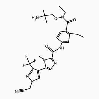 CCc1cc(NC(=O)c2ncc(-c3cn(CC#N)nc3C(F)(F)F)n2C)ccc1C(=O)N(CC)OCC(C)(C)N